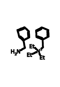 CC[N+](CC)(CC)Cc1ccccc1.NCc1ccccc1